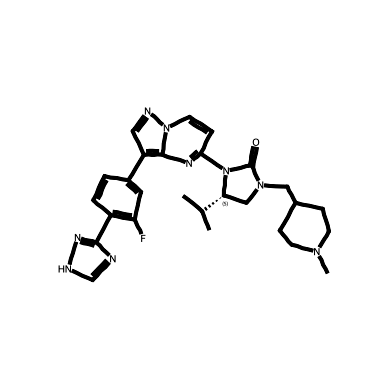 CC(C)[C@H]1CN(CC2CCN(C)CC2)C(=O)N1c1ccn2ncc(-c3ccc(-c4nc[nH]n4)c(F)c3)c2n1